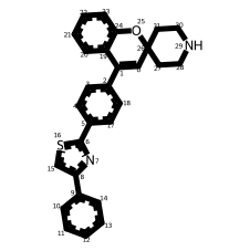 C1=C(c2ccc(-c3nc(-c4ccccc4)cs3)cc2)c2ccccc2OC12CCNCC2